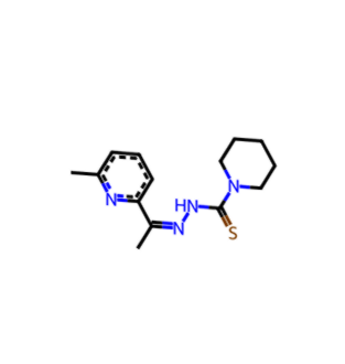 CC(=NNC(=S)N1CCCCC1)c1cccc(C)n1